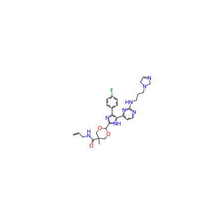 C=CCNC(=O)C1(C)COC(c2nc(-c3ccc(F)cc3)c(-c3ccnc(NCCCN4CC=NC4)n3)[nH]2)OC1